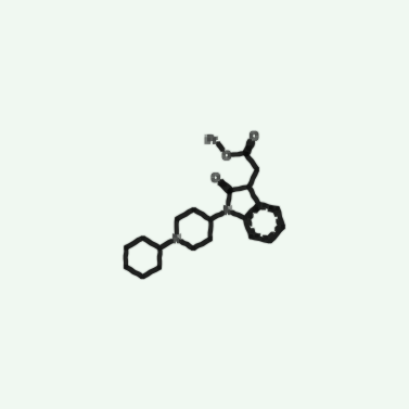 CC(C)OC(=O)CC1C(=O)N(C2CCN(C3CCCCC3)CC2)c2ccccc21